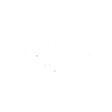 CCn1c(-c2cccnc2[C@H](C)OC)c2c3cc(ccc31)-c1csc(n1)C[C@H](NC(=O)N(C)CC1CC1)C(=O)N1CCC[C@H](N1)C(=O)OCC(C)(C)C2